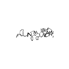 Cn1nccc1Nc1cc(-c2cc3n(c2)CCN(Cc2cccc(F)c2)C3=O)c(Cl)cn1